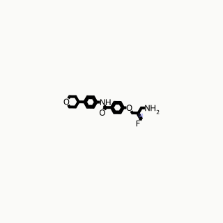 NC/C(=C/F)COc1ccc(C(=O)Nc2ccc(C3CCOCC3)cc2)cc1